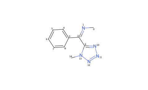 CN=C(c1ccccc1)c1nnnn1C